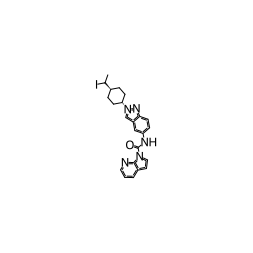 CC(I)[C@H]1CC[C@H](n2cc3cc(NC(=O)n4ccc5cccnc54)ccc3n2)CC1